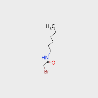 CCCCCCNC(=O)CBr